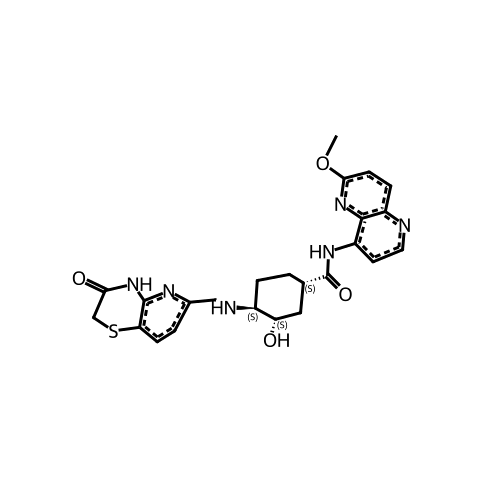 COc1ccc2nccc(NC(=O)[C@H]3CC[C@H](NCc4ccc5c(n4)NC(=O)CS5)[C@@H](O)C3)c2n1